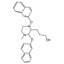 CN1CCN(Oc2ccc3ccccc3c2)C(CCCO)C1Oc1ccc2ccccc2c1